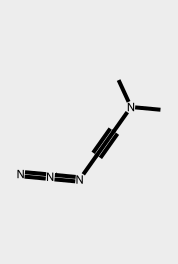 CN(C)C#CN=[N+]=[N-]